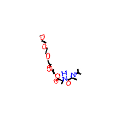 COCCOCCOCCOCCOC(=O)C(C)NC(=O)C(C)N=C(C)C